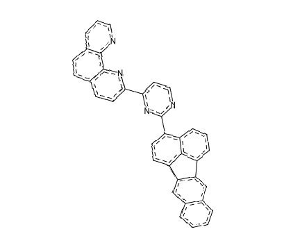 c1ccc2cc3c(cc2c1)-c1cccc2c(-c4nccc(-c5ccc6ccc7cccnc7c6n5)n4)ccc-3c12